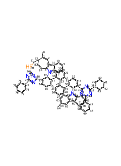 CC1=Cc2c3n(c4ccccc24)-c2c(cccc2-c2ccccc2-c2ccccc2-c2cccc(-c4nc(-c5ccccc5)nc(-c5ccccc5)n4)c2-n2c4ccccc4c4cc(C)ccc42)-c2nc(nc(-c4ccccc4)n2)PCC1C=C3